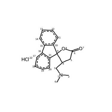 CN(C)CC1CC(=O)OC12c1ccccc1-c1ccccc12.Cl